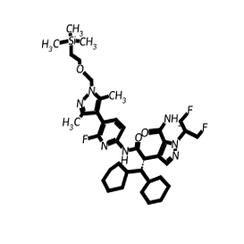 Cc1nn(COCC[Si](C)(C)C)c(C)c1-c1ccc(NC(=O)[C@H](c2cnn(C(CF)CF)c2C(N)=O)C(C2CCCCC2)C2CCCCC2)nc1F